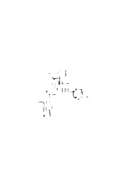 Cc1ncc2n1C(=O)N(C1CCN(C(=O)C3(NC(=O)Nc4ccc(Cl)cc4)CCCC3)CC1)C2